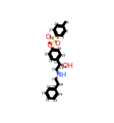 Cc1ccc(S(=O)(=O)Oc2ccc([C@@H](O)CNCCc3ccccc3)cc2)cc1